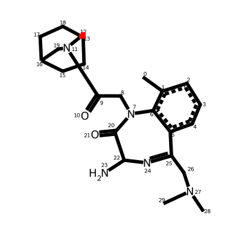 Cc1cccc2c1N(CC(=O)N1CC3CCC(CC3)C1)C(=O)C(N)N=C2CN(C)C